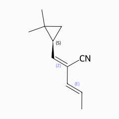 C/C=C/C(C#N)=C/[C@@H]1CC1(C)C